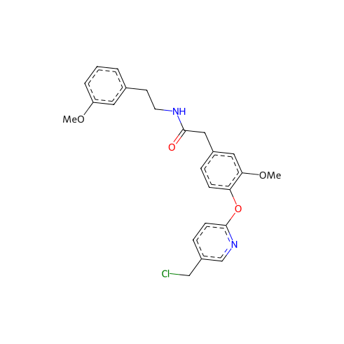 COc1cccc(CCNC(=O)Cc2ccc(Oc3ccc(CCl)cn3)c(OC)c2)c1